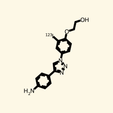 Nc1ccc(-c2cn(-c3ccc(OCCO)c([123I])c3)nn2)cc1